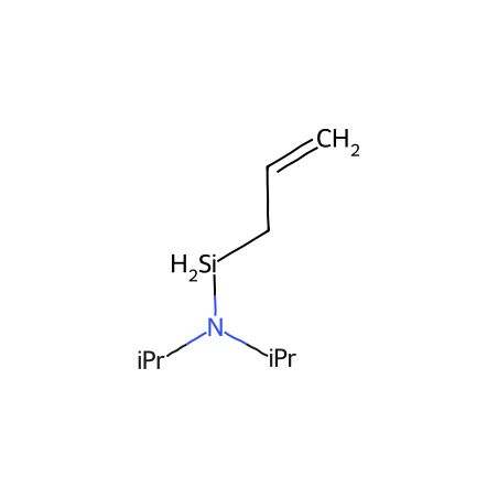 C=CC[SiH2]N(C(C)C)C(C)C